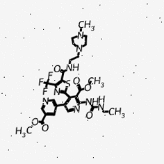 CCNC(=O)Nc1ncc(-c2cncc(C(=O)OC)c2)c(-c2nc(C(F)(F)F)c(C(=O)NCCN3CCN(C)CC3)s2)c1C(=O)OC